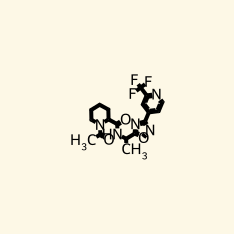 CC(=O)N1CCCCC1C(=O)NC(C)c1nc(-c2ccnc(C(F)(F)F)c2)no1